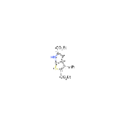 CCCc1c(C(=O)OCC)sc2[nH]c(C(=O)OCC)cc12